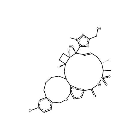 C[C@@H]1[C@@H](C)C/C=C/[C@@](O)(c2nc(CO)nn2C)[C@@H]2CC[C@H]2CN2CCCCc3cc(Cl)ccc3COc3ccc(cc32)C(=O)NS1(=O)=O